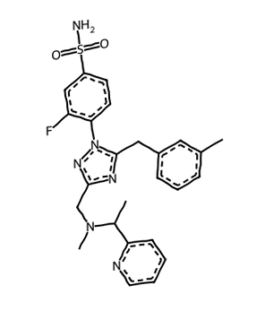 Cc1cccc(Cc2nc(CN(C)C(C)c3ccccn3)nn2-c2ccc(S(N)(=O)=O)cc2F)c1